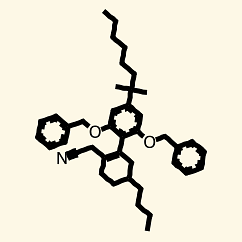 CCCCCCC(C)(C)c1cc(OCc2ccccc2)c(C2=C(CC#N)CCC(CCCC)C2)c(OCc2ccccc2)c1